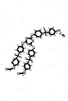 CC(C)(c1ccc(N=C=O)cc1)c1ccc(Oc2nc(Oc3ccc(C(C)(C)c4ccc(N=C=O)cc4)cc3)nc(Oc3ccc(C(C)(C)c4ccc(N=C=O)cc4)cc3)n2)cc1